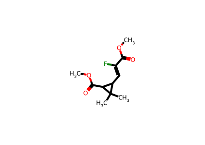 COC(=O)/C(F)=C/C1C(C(=O)OC)C1(C)C